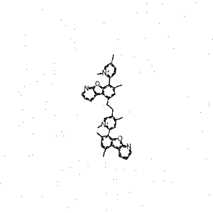 Cc1ccc(-c2c(C)cc(CCc3c[n+](C)c(-c4c(C)cc(C)c5c4oc4ncccc45)cc3C)c3c2oc2ncccc23)[n+](C)c1